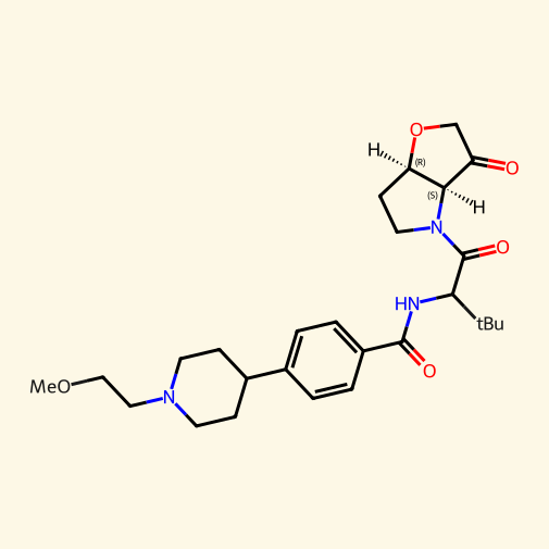 COCCN1CCC(c2ccc(C(=O)NC(C(=O)N3CC[C@H]4OCC(=O)[C@H]43)C(C)(C)C)cc2)CC1